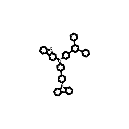 c1ccc(-c2cc(-c3ccccc3)cc(-c3ccc(N(c4ccc(-c5ccc(-n6c7ccccc7c7ccccc76)cc5)cc4)c4ccc5c(c4)sc4ccccc45)cc3)c2)cc1